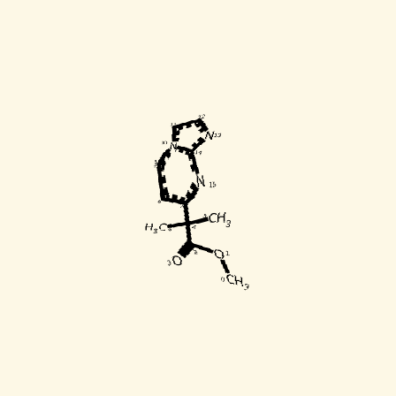 COC(=O)C(C)(C)c1ccn2ccnc2n1